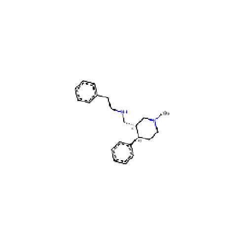 CCCCN1CC[C@@H](c2ccccc2)[C@H](CNCCc2ccccc2)C1